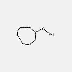 CCCSC1CCCCCC1